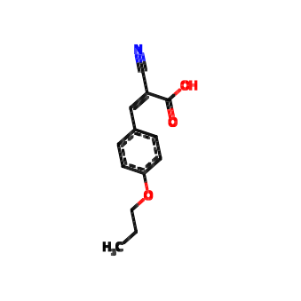 CCCOc1ccc(C=C(C#N)C(=O)O)cc1